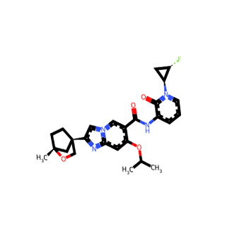 CC(C)Oc1cc2nc([C@]34CC[C@](C)(C3)OC4)cn2cc1C(=O)Nc1cccn([C@H]2C[C@@H]2F)c1=O